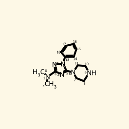 CN(C)c1nc(N2CCNCC2)n(-c2ccccc2)n1